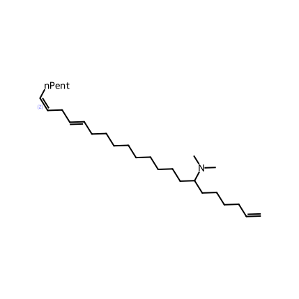 C=CCCCCC(CCCCCCCCCC=CC/C=C\CCCCC)N(C)C